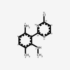 CNc1c(C)ccc(N)c1-c1nccc(Cl)n1